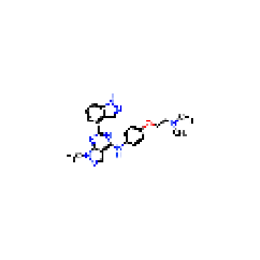 CN(C)CCOc1ccc(Nc2nc(-c3cccc4[nH]ncc34)nc3c2cnn3C)cc1